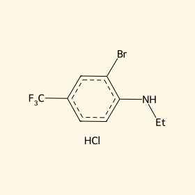 CCNc1ccc(C(F)(F)F)cc1Br.Cl